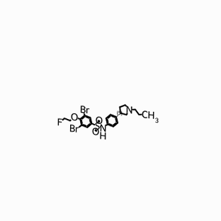 CCCN1CC[C@@H](c2ccc(NS(=O)(=O)c3cc(Br)c(OCCF)c(Br)c3)cc2)C1